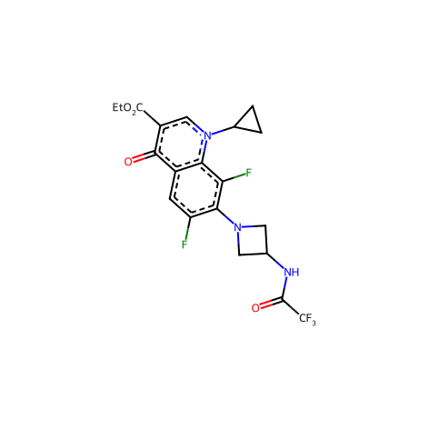 CCOC(=O)c1cn(C2CC2)c2c(F)c(N3CC(NC(=O)C(F)(F)F)C3)c(F)cc2c1=O